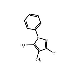 Cc1c(Cl)nn(-c2ccccc2)c1C